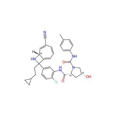 Cc1ccc(NC(=O)N2C[C@H](O)C[C@@H]2C(=O)Nc2cc(C3(CCC4CC4)N[C@@H]4C=C(C#N)C=CC=C43)ccc2F)cc1